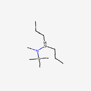 CCC[SiH](CCC)N(C)[Si](C)(C)C